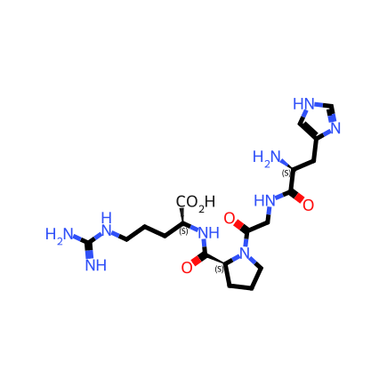 N=C(N)NCCC[C@H](NC(=O)[C@@H]1CCCN1C(=O)CNC(=O)[C@@H](N)Cc1c[nH]cn1)C(=O)O